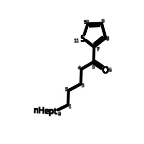 CCCCCCCCCCCC(=O)c1cccs1